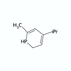 CC1=CC(C(C)C)=CCP1